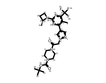 Cc1c(-c2cnn(CC(=O)N3CCN(C(=O)OC(C)(C)C)CC3)c2)nc(N2CC[C@@H]2C)nc1C(F)(F)F